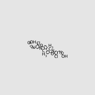 Cc1c(-c2nc3cc(CN4CC[C@H](O)C4)cc(Cl)c3o2)cccc1-c1cccc(-c2nc3cc(CN4CC[C@H](C(=O)O)C4)cc(Cl)c3o2)c1C